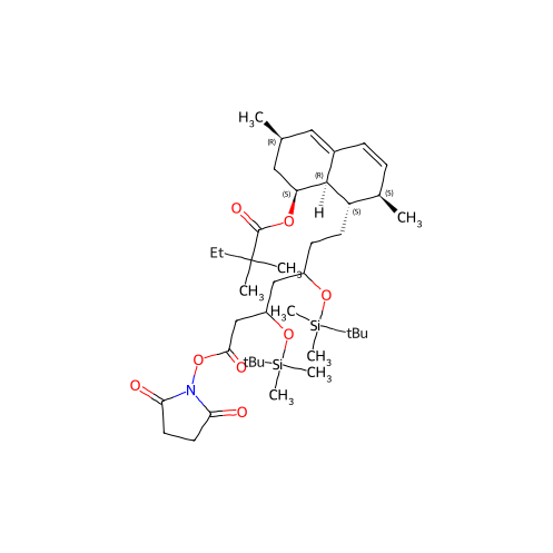 CCC(C)(C)C(=O)O[C@H]1C[C@@H](C)C=C2C=C[C@@H](C)[C@H](CCC(CC(CC(=O)ON3C(=O)CCC3=O)O[Si](C)(C)C(C)(C)C)O[Si](C)(C)C(C)(C)C)[C@H]21